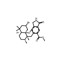 COC(=O)c1cc2c(c3c1C[C@]1(C)[C@@H](C)CC[C@H]4C(C)(C)CC(Br)C[C@]41O3)CNC2=O